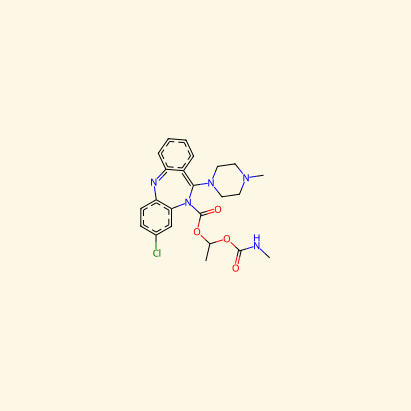 CNC(=O)OC(C)OC(=O)N1C(N2CCN(C)CC2)=c2ccccc2=Nc2ccc(Cl)cc21